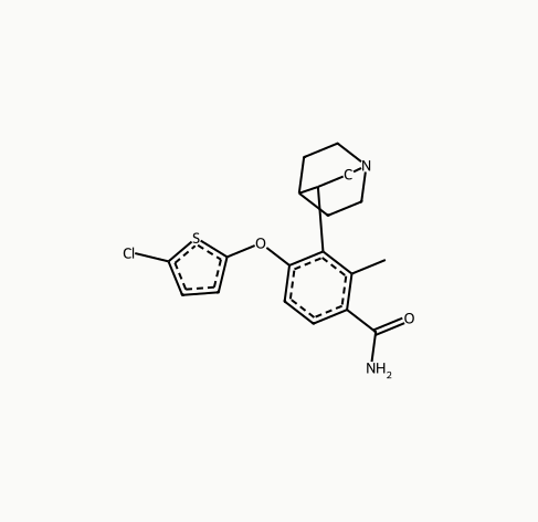 Cc1c(C(N)=O)ccc(Oc2ccc(Cl)s2)c1C1CN2CCC1CC2